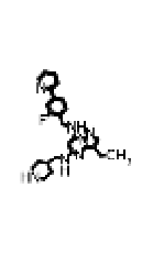 CCc1cnn2c(NCc3ccc(-c4ccccn4)cc3F)cc(NCC3CCNCC3)nc12